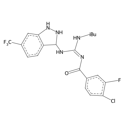 CCC(C)N/C(=N/C(=O)c1ccc(Cl)c(F)c1)NC1NNc2cc(C(F)(F)F)ccc21